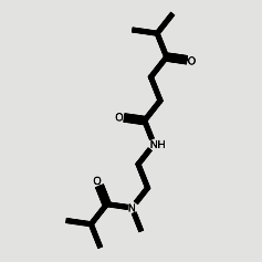 CC(C)C(=O)CCC(=O)NCCN(C)C(=O)C(C)C